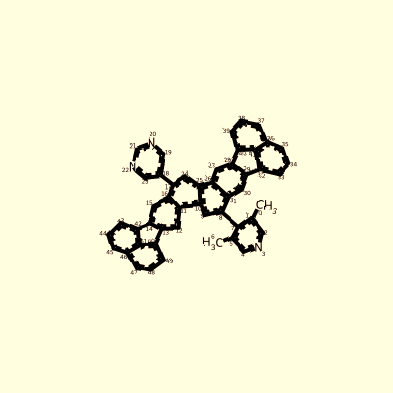 Cc1cncc(C)c1-c1cc2c3cc4c(cc3c(-c3cncnc3)cc2c2cc3c(cc12)-c1cccc2cccc-3c12)-c1cccc2cccc-4c12